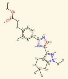 CCOC(=O)CCc1ccc(-c2noc(-c3nn(CC)c4c3CCC(C)(C)C4)n2)cc1C